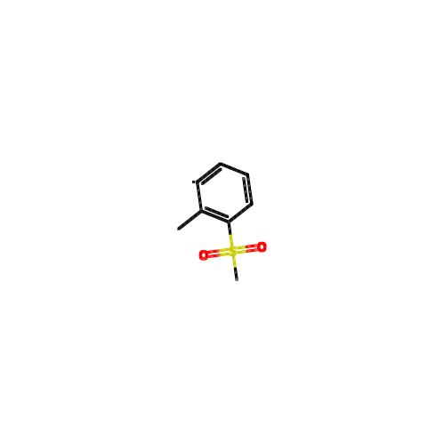 Cc1[c]cccc1S(C)(=O)=O